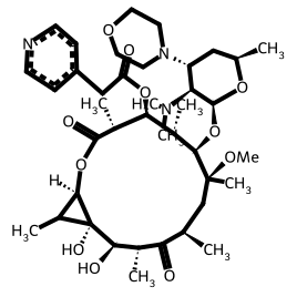 CO[C@@]1(C)C[C@@H](C)C(=O)[C@H](C)[C@@H](O)[C@@]2(O)C(C)[C@H]2OC(=O)[C@H](C)[C@@H](OC(=O)Cc2ccncc2)[C@H](C)[C@H]1O[C@@H]1O[C@H](C)C[C@@H](N2CCOCC2)[C@@H]1N(C)C